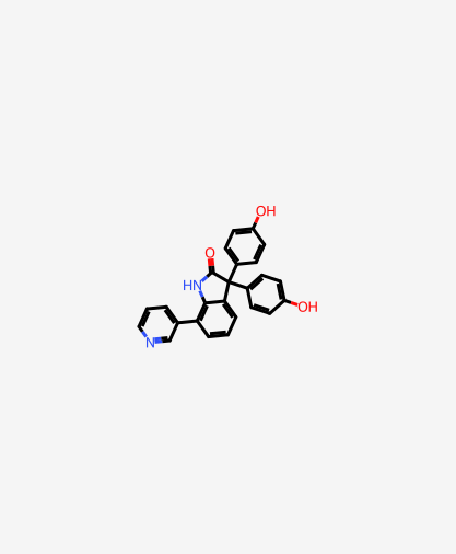 O=C1Nc2c(-c3cccnc3)cccc2C1(c1ccc(O)cc1)c1ccc(O)cc1